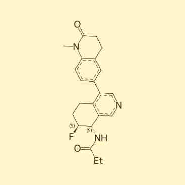 CCC(=O)N[C@H]1c2cncc(-c3ccc4c(c3)CCC(=O)N4C)c2CC[C@@H]1F